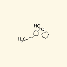 CC/C=C/c1ccc(C(=O)O)c(C2C=CC=CC=C2)c1